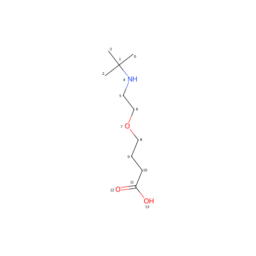 CC(C)(C)NCCOCCCC(=O)O